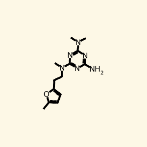 Cc1ccc(CCN(C)c2nc(N)nc(N(C)C)n2)o1